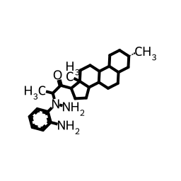 CC(C(=O)C1CCC2C3CCC4C[C@@H](C)CCC4C3CCC12C)N(N)c1ccccc1N